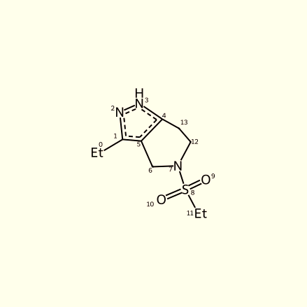 CCc1n[nH]c2c1CN(S(=O)(=O)CC)CC2